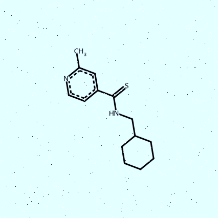 Cc1cc(C(=S)NCC2CCCCC2)ccn1